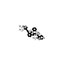 Cc1c(C#Cc2cccc3cc([C@H](C)NC(=O)c4c(N)nn5cnccc45)n(-c4ccccc4)c(=O)c23)cnn1C